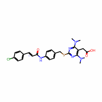 CN(C)c1nc(SCc2ccc(NC(=O)/C=C/c3ccc(Cl)cc3)cc2)nc(N(C)C)c1CC(=O)O